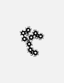 c1cc(-c2cccc3c2oc2ccccc23)cc(N(c2ccc(-c3ccc4sc5ccccc5c4c3)cc2)c2ccc(-c3cccc4c3oc3ccccc34)cc2)c1